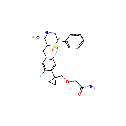 C[C@@H]1NC[C@@H](c2ccccc2)S(=O)(=O)C1Cc1cc(F)c(C2(COCC(N)=O)CC2)cc1F